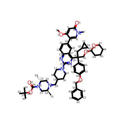 COc1cc(=O)n(C)cc1-c1ccc2nc(N3CCC(CN4C[C@@H](C)N(C(=O)OC(C)(C)C)C[C@@H]4C)CC3)nc(C(COC3CCCCO3)(CC3CC3)c3ccc(OCc4ccccc4)cc3)c2c1